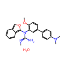 CN=C(N)N(c1cc(-c2ccc(N(C)C)cc2)ccc1OC)c1occ2ccccc12.O